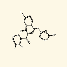 Cc1cccc(C(=O)c2cn(Cc3cccc(Br)n3)c3ccc(F)cc3c2=O)c1C